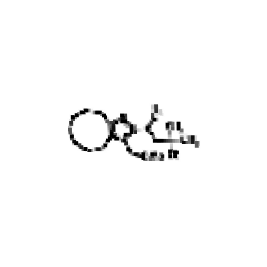 CCC(C)(C)CC(C)n1nc2c(c1COC)CCCCCCC2